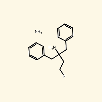 N.NC(CCF)(Cc1ccccc1)Cc1ccccc1